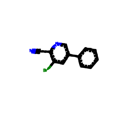 N#Cc1ncc(-c2ccccc2)cc1Br